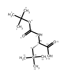 CC(C)(C)OC(=O)N[C@@H](C[Si](C)(C)C)C(=O)O